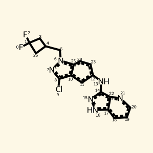 FC1(F)CC(Cn2nc(Cl)c3cc(Nc4n[nH]c5cccnc45)ccc32)C1